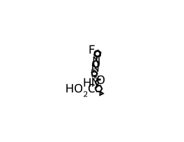 O=C(O)C1=C(NC(=O)[C@@H]2CC[C@H](N3CCN(c4cccc(F)c4)CC3)C2)CCC2(CC2)C1